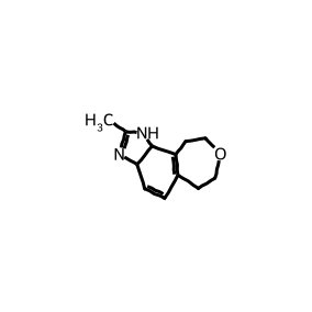 CC1=NC2C=CC3=C(CCOCC3)C2N1